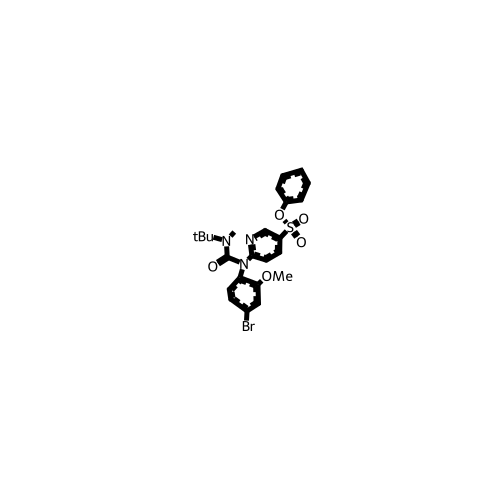 COc1cc(Br)ccc1N(C(=O)N(C)C(C)(C)C)c1ccc(S(=O)(=O)Oc2ccccc2)cn1